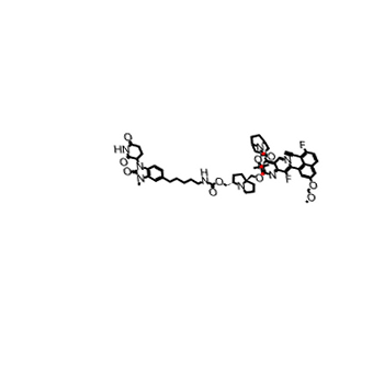 C#Cc1c(F)ccc2cc(OCOC)cc(-c3ncc4c(N5CC6CCC(C5)N6C(=O)OC(C)(C)C)nc(OC[C@@]56CCCN5[C@H](COC(=O)NCCCCCc5ccc7c(c5)n(C)c(=O)n7C5CCC(=O)NC5=O)CC6)nc4c3F)c12